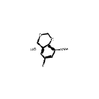 CNc1cc(F)cc2c1OCOC2.Cl